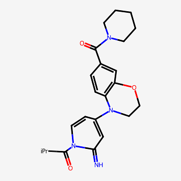 CC(C)C(=O)n1ccc(N2CCOc3cc(C(=O)N4CCCCC4)ccc32)cc1=N